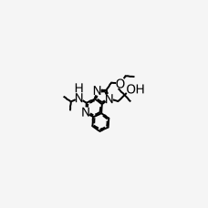 CCOCc1nc2c(NC(C)C)nc3ccccc3c2n1CC(C)(C)O